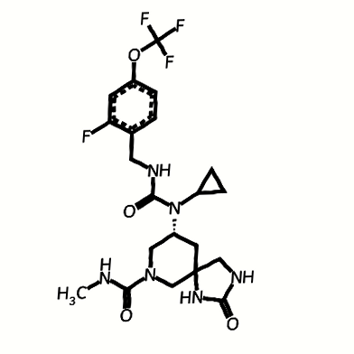 CNC(=O)N1C[C@H](N(C(=O)NCc2ccc(OC(F)(F)F)cc2F)C2CC2)CC2(CNC(=O)N2)C1